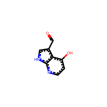 O=Cc1c[nH]c2nccc(O)c12